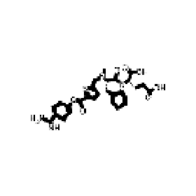 CN(Cc1ccc(C(=O)Oc2ccc(C(=N)N)cc2)s1)[C@@H](Cc1ccccc1)C(=O)N[C@@H](CCC(=O)O)C(=O)O